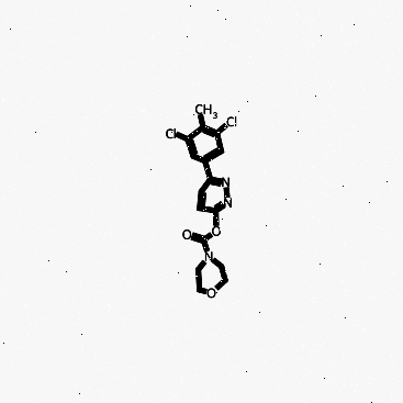 Cc1c(Cl)cc(-c2ccc(OC(=O)N3CCOCC3)nn2)cc1Cl